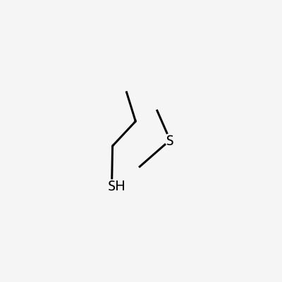 CCCS.CSC